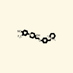 C[C@@H]1CCC[C@H](C)N1Cc1ccc(OCCC2(O)CCN(c3ccc(C#N)c(C(F)(F)F)c3)CC2)cc1